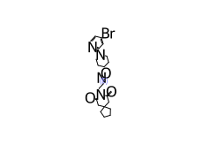 O=C1CC2(CCCC2)CC(=O)N1C/C=N/OC1CCN(c2cc(Br)ccn2)CC1